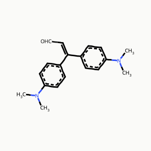 CN(C)c1ccc(C(=CC=O)c2ccc(N(C)C)cc2)cc1